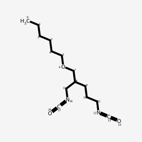 CCCCCCOCC(CCCN=C=O)CN=C=O